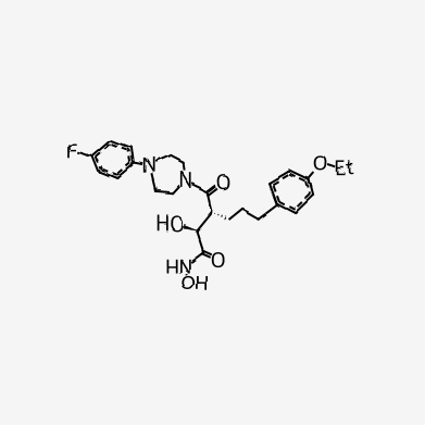 CCOc1ccc(CCC[C@@H](C(=O)N2CCN(c3ccc(F)cc3)CC2)[C@H](O)C(=O)NO)cc1